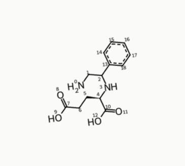 NCC(N[C@H](CCC(=O)O)C(=O)O)c1ccccc1